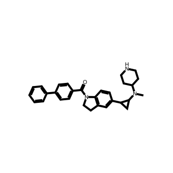 CN(C1CCNCC1)C1CC1c1ccc2c(c1)CCN2C(=O)c1ccc(-c2ccccc2)cc1